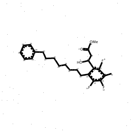 COC(=O)CC(O)c1c(F)c(C)c(F)c(F)c1CCCCCCCCc1ccccc1